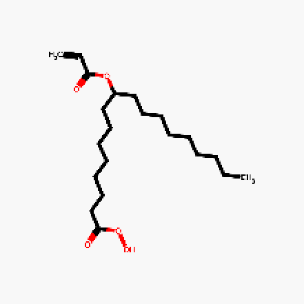 C=CC(=O)OC(CCCCCCCCC)CCCCCCCC(=O)OO